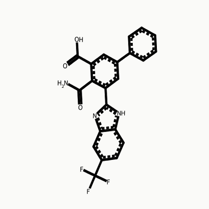 NC(=O)c1c(C(=O)O)cc(-c2ccccc2)cc1-c1nc2cc(C(F)(F)F)ccc2[nH]1